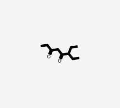 CCC(=O)CC(=O)C(CC)CC